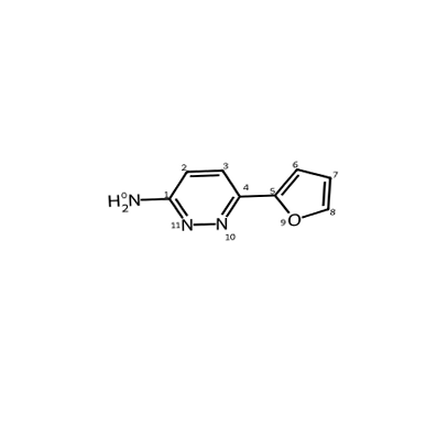 Nc1ccc(-c2ccco2)nn1